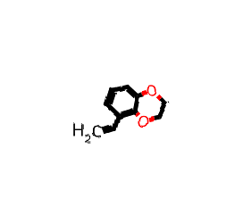 C=Cc1cccc2c1OC[CH]O2